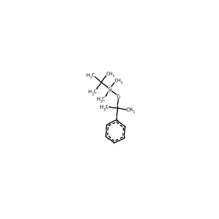 CC(C)(O[Si](C)(C)C(C)(C)C)c1cc[c]cc1